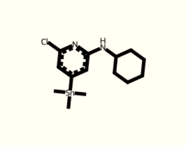 [CH3][Sn]([CH3])([CH3])[c]1cc(Cl)nc(NC2CCCCC2)c1